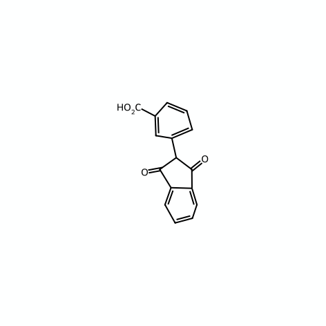 O=C(O)c1cccc(C2C(=O)c3ccccc3C2=O)c1